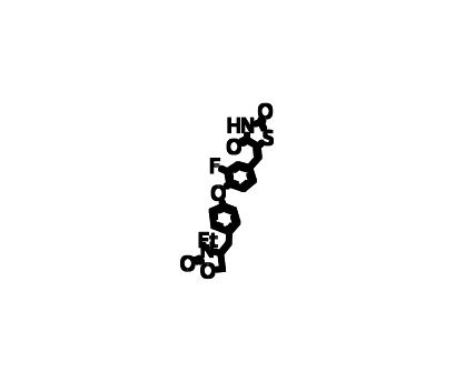 CCN1C(=O)OCC1Cc1ccc(Oc2ccc(/C=C3/SC(=O)NC3=O)cc2F)cc1